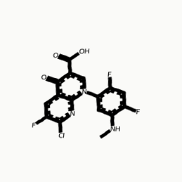 CNc1cc(-n2cc(C(=O)O)c(=O)c3cc(F)c(Cl)nc32)c(F)cc1F